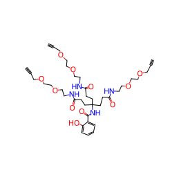 C#CCOCCOCCNC(=O)CCC(CCC(=O)NCCOCCOCC#C)(CCC(=O)NCCOCCOCC#C)NC(=O)c1ccccc1O